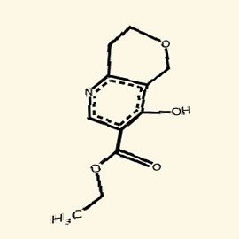 CCOC(=O)c1cnc2c(c1O)COCC2